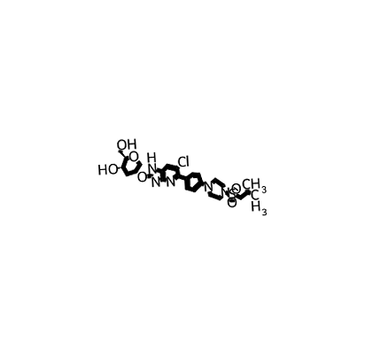 CC(C)CS(=O)(=O)N1CCN(c2ccc(-c3nc4nc(O[C@H]5CO[C@H](CO)[C@@H](O)C5)[nH]c4cc3Cl)cc2)CC1